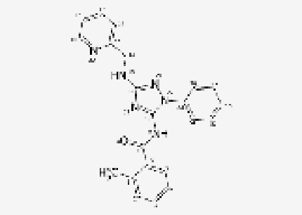 Cc1ccccc1C(=O)Nc1nc(NCc2ccccn2)nn1-c1ccccc1